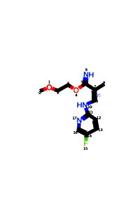 COCCOC(=N)/C(C)=C\Nc1ccc(F)cn1